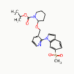 CC(C)OC(=O)N1CCCCC1OCc1cccnc1-n1ccc2ccc(S(C)(=O)=O)cc21